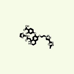 Cc1nnc(-c2cn(CCOc3cc4c(cc3Oc3ccc(C(=O)O)c(F)c3)[C@@](C)(CC(=O)Nc3nccs3)NCC4)nn2)o1